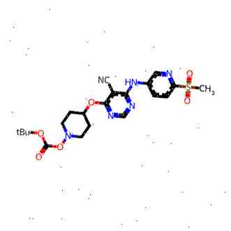 CC(C)(C)OC(=O)ON1CCC(Oc2ncnc(Nc3ccc(S(C)(=O)=O)nc3)c2C#N)CC1